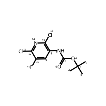 CC(C)(C)OC(=O)Nc1cc(F)c(Cl)nc1Cl